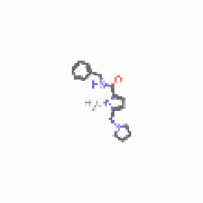 Cn1c(CN2CCCC2)ccc1C(=O)NCc1ccccc1